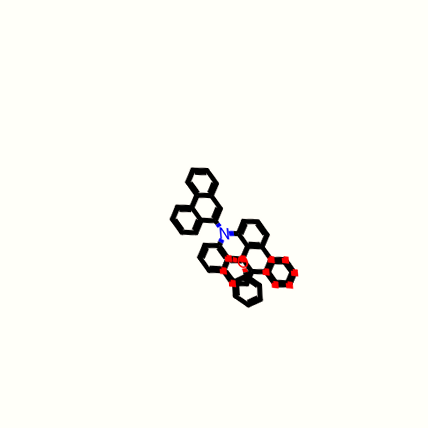 c1ccc(-c2ccccc2-c2c(-c3ccccc3)cccc2N(c2cc3ccccc3c3ccccc23)c2cccc3c2oc2ccccc23)cc1